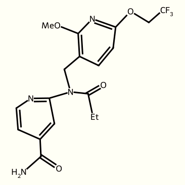 CCC(=O)N(Cc1ccc(OCC(F)(F)F)nc1OC)c1cc(C(N)=O)ccn1